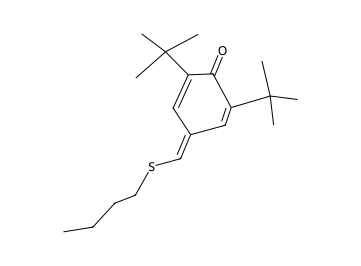 CCCCSC=C1C=C(C(C)(C)C)C(=O)C(C(C)(C)C)=C1